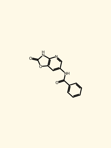 O=C(Nc1cnc2[nH]c(=O)oc2c1)c1ccccc1